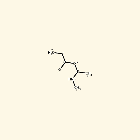 CCC([S])OC(C)NC